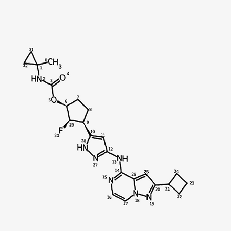 CC1(NC(=O)O[C@H]2CC[C@@H](c3cc(Nc4nccn5nc(C6CCC6)cc45)n[nH]3)[C@H]2F)CC1